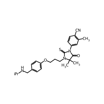 Cc1cc(N2C(=O)C(C)(C)N(CCCOc3ccc(CNC(C)C)cc3)C2=S)ccc1C#N